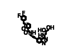 O=C(NCC#Cc1ccc2ncnc(NCC(O)CO)c2c1)c1cccn(Cc2ccc(F)c(F)c2)c1=O